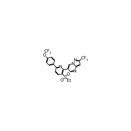 CCS(=O)(=O)c1ccc(-c2ccc(OC(F)(F)F)cc2)nc1-c1cnc2cc(C(F)(F)F)nn2c1